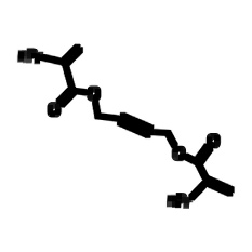 C=C(CCC)C(=O)OCC#CCOC(=O)C(=C)CCC